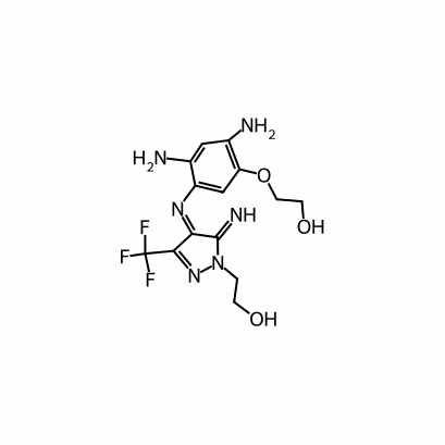 N=C1C(=Nc2cc(OCCO)c(N)cc2N)C(C(F)(F)F)=NN1CCO